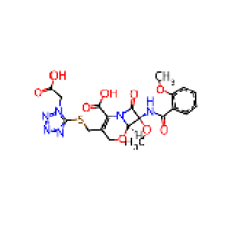 COc1ccccc1C(=O)N[C@]1(OC)C(=O)N2C(C(=O)O)=C(CSc3nnnn3CC(=O)O)CO[C@@H]21